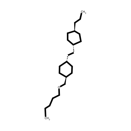 CCCCCOC[C@H]1CC[C@H](CC[C@H]2CC[C@H](CCC)CC2)CC1